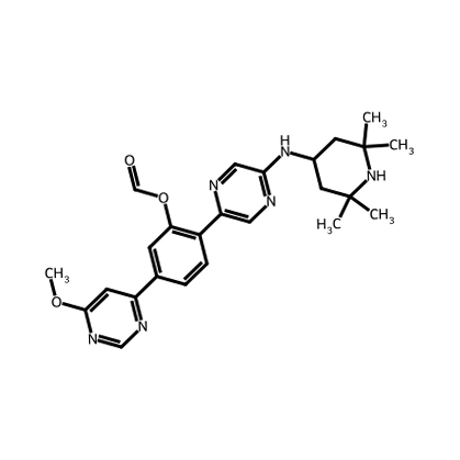 COc1cc(-c2ccc(-c3cnc(NC4CC(C)(C)NC(C)(C)C4)cn3)c(OC=O)c2)ncn1